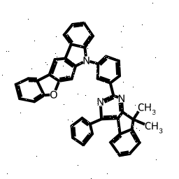 CC1(C)c2ccccc2-c2c(-c3ccccc3)nc(-c3cccc(-n4c5ccccc5c5cc6c(cc54)oc4ccccc46)c3)nc21